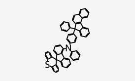 c1ccc(N(c2ccc(C3(c4ccccc4)c4ccccc4-c4c3ccc3ccccc43)cc2)c2cccc3c2-c2ccccc2C32c3ccccc3Sc3ccccc32)cc1